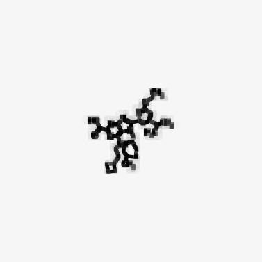 CCOc1cc(C(C)C)cc(-c2nc3nc(C(=O)O)nc(NCCC4CCC4)c3n2C[C@H]2CC[C@H](C)CC2)n1